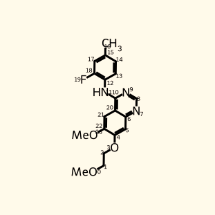 COCCOc1cc2ncnc(Nc3ccc(C)cc3F)c2cc1OC